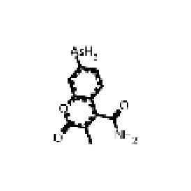 Cc1c(C(N)=O)c2ccc([AsH2])cc2oc1=O